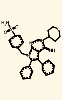 N=c1c2c(-c3ccccc3)c(-c3ccccc3)n(Cc3ccc(S(N)(=O)=O)cc3)c2ncn1C1CCOCC1